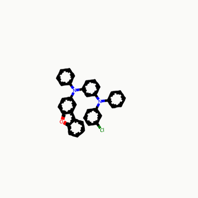 Clc1cccc(N(c2ccccc2)c2cccc(N(c3ccccc3)c3ccc4oc5ccccc5c4c3)c2)c1